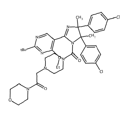 CCOc1nc(C(C)(C)C)ncc1C1=NC(C)(c2ccc(Cl)cc2)C(C)(c2ccc(Cl)cc2)N1C(=O)N1CCN(CC(=O)N2CCOCC2)CC1